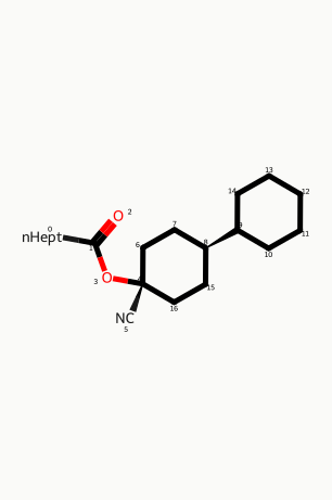 CCCCCCCC(=O)O[C@]1(C#N)CC[C@@H](C2CCCCC2)CC1